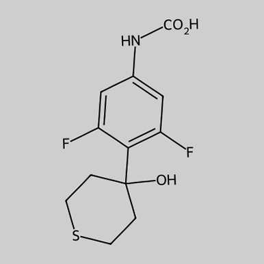 O=C(O)Nc1cc(F)c(C2(O)CCSCC2)c(F)c1